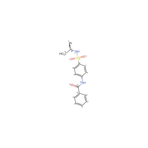 CC(C)[C@@H](NS(=O)(=O)c1ccc(NC(=O)c2ccccc2)cc1)C(=O)O